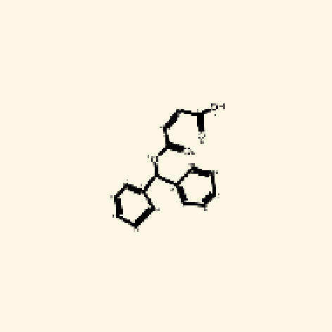 O=C(O)/C=C\C(=O)OC(c1ccccc1)c1ccccc1